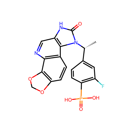 C[C@H](c1ccc(P(=O)(O)O)c(F)c1)n1c(=O)[nH]c2cnc3c4c(ccc3c21)OCO4